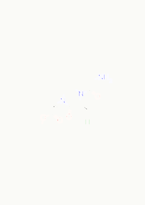 CCOC(=O)[C@H](C)N1CCN(C(=O)CN)[C@@H](C)C1=O.Cl